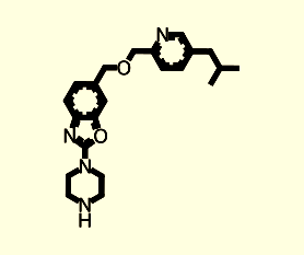 CC(C)Cc1ccc(COCc2ccc3nc(N4CCNCC4)oc3c2)nc1